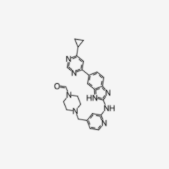 O=CN1CCN(Cc2ccnc(Nc3nc4ccc(-c5cc(C6CC6)ncn5)cc4[nH]3)c2)CC1